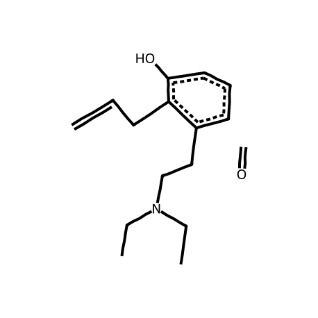 C=CCc1c(O)cccc1CCN(CC)CC.C=O